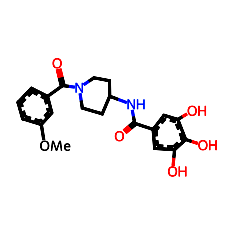 COc1cccc(C(=O)N2CCC(NC(=O)c3cc(O)c(O)c(O)c3)CC2)c1